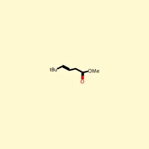 COC(=O)C/C=C/C(C)(C)C